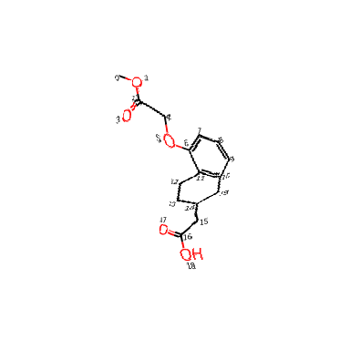 COC(=O)COc1cccc2c1CCC(CC(=O)O)C2